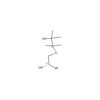 [C-]#[N+][C@H](CO[Si](C)(C)C(C)(C)CCC)C(C)C